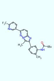 Cc1ccc(-c2nc3ccc(-c4ccc(C(F)(F)F)nc4)nn3c2C)cc1NC(=O)C(C)(C)C